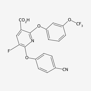 N#Cc1ccc(Oc2nc(Oc3cccc(OC(F)(F)F)c3)c(C(=O)O)cc2F)cc1